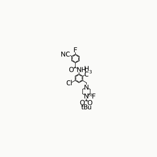 Cc1c(CN2CCN(C(=O)OC(C)(C)C)[C@@H](F)C2)cc(Cl)cc1NC(=O)c1ccc(F)c(C#N)c1